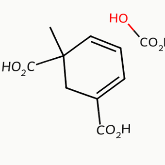 CC1(C(=O)O)C=CC=C(C(=O)O)C1.O=C(O)O